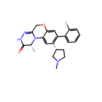 C[C@@H]1C(=O)NN=C2COc3cc(-c4ccccc4F)c([C@@H]4CCN(C)C4)cc3N21